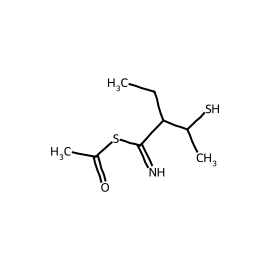 CCC(C(=N)SC(C)=O)C(C)S